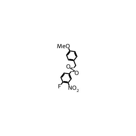 COc1ccc(CS(=O)(=O)c2ccc(F)c([N+](=O)[O-])c2)cc1